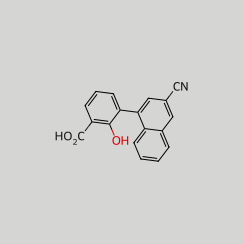 N#Cc1cc(-c2cccc(C(=O)O)c2O)c2ccccc2c1